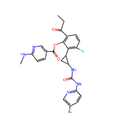 CCC(=O)c1ccc(F)c(C2CC2NC(=O)Nc2ccc(Br)cn2)c1OC(=O)c1ccc(NC)nc1